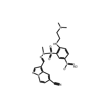 CN(C)CCNc1ccc([N+](=O)[O-])cc1S(=O)(=O)N(C)N=Cc1cnn2ccc(C#N)cc12.Cl